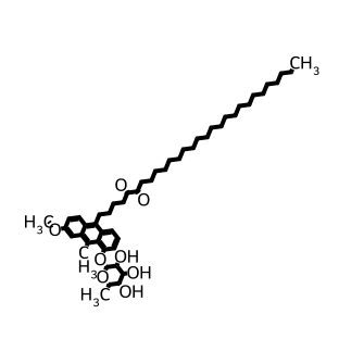 CCCCCCCCCCCCCCCCCCCCCCCC(=O)C(=O)CCCCc1c2ccc(OC)cc2c(C)c2c(OC3OC(C)C(O)C(O)C3O)cccc12